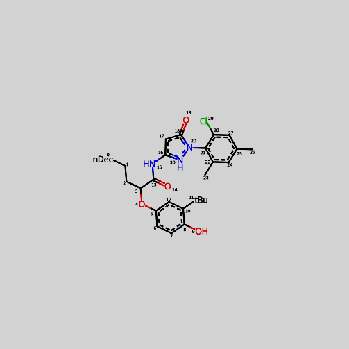 CCCCCCCCCCCCC(Oc1ccc(O)c(C(C)(C)C)c1)C(=O)Nc1cc(=O)n(-c2c(C)cc(C)cc2Cl)[nH]1